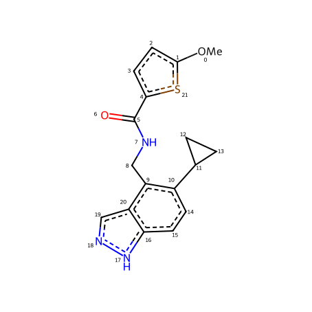 COc1ccc(C(=O)NCc2c(C3CC3)ccc3[nH]ncc23)s1